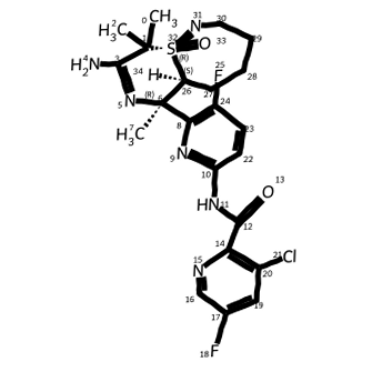 CC1(C)C(N)=N[C@](C)(c2nc(NC(=O)c3ncc(F)cc3Cl)ccc2F)[C@@H]2CCCCN=[S@@]21=O